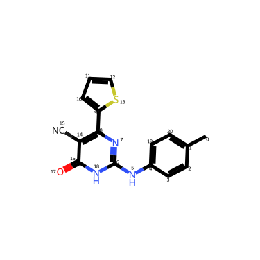 Cc1ccc(Nc2nc(-c3cccs3)c(C#N)c(=O)[nH]2)cc1